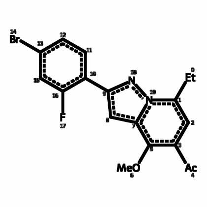 CCc1cc(C(C)=O)c(OC)c2cc(-c3ccc(Br)cc3F)nn12